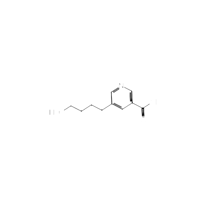 CCCCCc1cncc(C(=O)Cl)c1